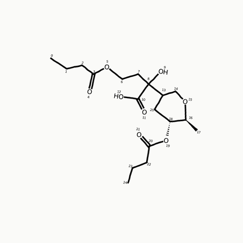 CCCC(=O)OCCC(O)(C(=O)O)C1CO[C@@H](C)[C@H](OC(=O)CCC)C1